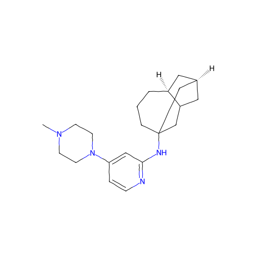 CN1CCN(c2ccnc(NC34CCC[C@H]5C[C@@H](CC5C3)C4)c2)CC1